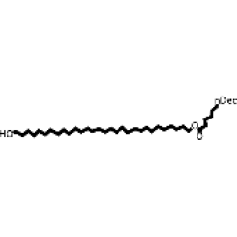 CCCCCCCCCCCCCCCC(=O)OCCCCCCCCCCCCCCCCCCCCCCCCCCCCCCO